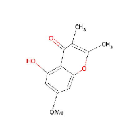 COc1cc(O)c2c(=O)c(C)c(C)oc2c1